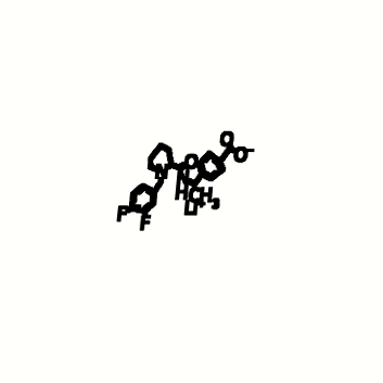 C[C@H](NC(=O)C1CCCCN1Cc1ccc(F)c(F)c1)c1ccc(C(=O)[O-])cc1.[Li+]